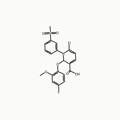 COc1cc(F)ccc1OC1C(C(=O)O)=CC=C(Cl)N1c1cccc(S(C)(=O)=O)c1